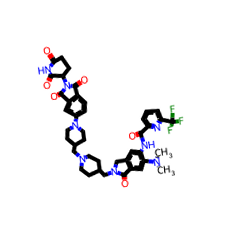 CN(C)c1cc2c(cc1NC(=O)c1cccc(C(F)(F)F)n1)CN(CC1CCN(CC3CCN(c4ccc5c(c4)C(=O)N(C4CCC(=O)NC4=O)C5=O)CC3)CC1)C2=O